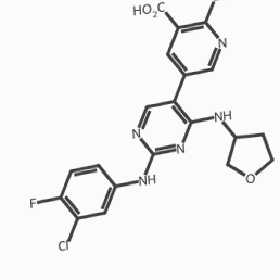 CCc1ncc(-c2cnc(Nc3ccc(F)c(Cl)c3)nc2NC2CCOC2)cc1C(=O)O